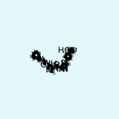 Cc1ncc(NC(=O)CN2CC3C2=CC=CC3(C)C)cc1NC(=O)c1cnn2cc(-c3ccc(C4(O)COC4)cc3)sc12